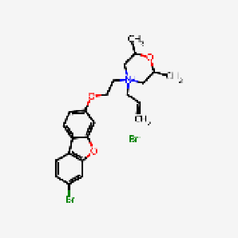 C=CC[N+]1(CCOc2ccc3c(c2)oc2cc(Br)ccc23)CC(C)OC(C)C1.[Br-]